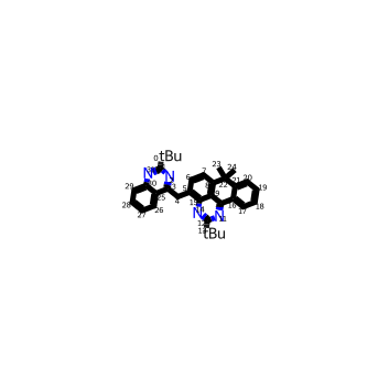 CC(C)(C)c1nc(Cc2ccc3c4c(nc(C(C)(C)C)nc24)-c2ccccc2C3(C)C)c2ccccc2n1